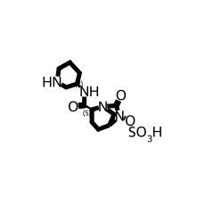 O=C(N[C@@H]1CCCNC1)[C@@H]1CCC2CN1C(=O)N2OS(=O)(=O)O